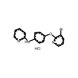 Brc1cccnc1Oc1ccc(Nc2ccccn2)cc1.Cl